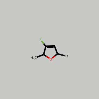 CCC1C=C(F)C(C)O1